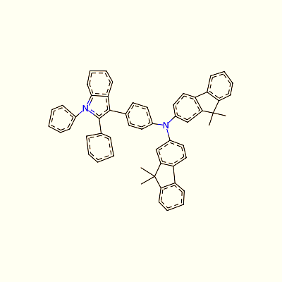 CC1(C)c2ccccc2-c2ccc(N(c3ccc(-c4c(-c5ccccc5)n(-c5ccccc5)c5ccccc45)cc3)c3ccc4c(c3)C(C)(C)c3ccccc3-4)cc21